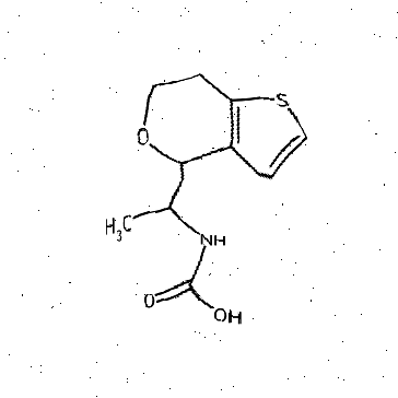 CC(NC(=O)O)C1OCCc2sccc21